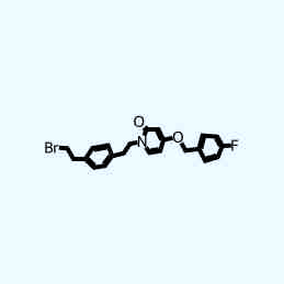 O=c1cc(OCc2ccc(F)cc2)ccn1CCc1ccc(CCBr)cc1